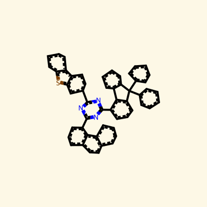 c1ccc(C2(c3ccccc3)c3ccccc3-c3c(-c4nc(-c5ccc6c(c5)sc5ccccc56)nc(-c5cccc6ccc7ccccc7c56)n4)cccc32)cc1